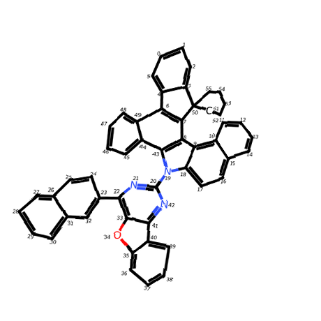 c1ccc2c(c1)-c1c(c3c4c5ccccc5ccc4n(-c4nc(-c5ccc6ccccc6c5)c5oc6ccccc6c5n4)c3c3ccccc13)C21CCCCC1